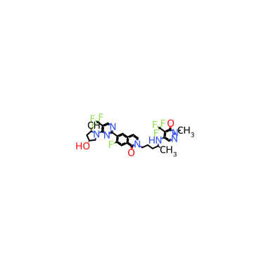 C[C@@H](CCCn1ccc2cc(-c3ncc(C(F)(F)F)c(N4C[C@H](O)C[C@@H]4C)n3)c(F)cc2c1=O)Nc1cnn(C)c(=O)c1C(F)(F)F